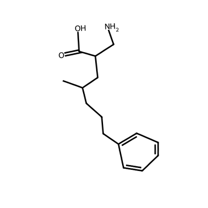 CC(CCCc1ccccc1)CC(CN)C(=O)O